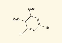 CCc1cc(Cl)c(OC)c(OC)c1